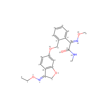 CCO/N=C1/COc2cc(OCc3ccccc3/C(=N\OC)C(=O)NC)ccc21